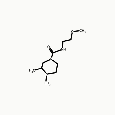 COCCNC(=O)N1CCN(C)[C@@H](C)C1